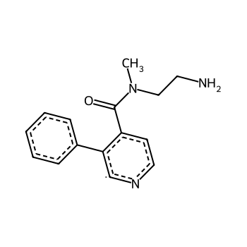 CN(CCN)C(=O)c1ccn[c]c1-c1ccccc1